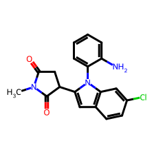 CN1C(=O)CC(c2cc3ccc(Cl)cc3n2-c2ccccc2N)C1=O